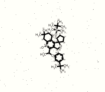 CC(C)c1c2c(c3c([n+]1[O-])CC(C)(C)C[C@@H]3O[Si](C)(C)C(C)(C)C)C1(CCCC1)O[C@@H]2c1ccc(C(C)(C)C)cc1